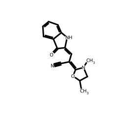 CC1CN(C)/C(=C(C#N)\C=C2\Nc3ccccc3C2=O)O1